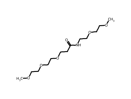 COCCOCCNC(=O)CCOCCOCCOC